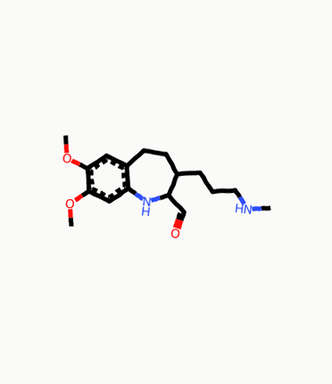 CNCCCC1CCc2cc(OC)c(OC)cc2NC1C=O